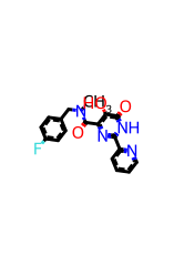 CN(Cc1ccc(F)cc1)C(=O)c1nc(-c2ccccn2)[nH]c(=O)c1O